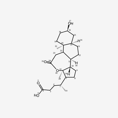 C[C@H](CCC(=O)O)C1CC[C@H]2[C@@H]3CC[C@@H]4C[C@H](O)CC[C@]4(C)C3CC(=O)O[C@]12C